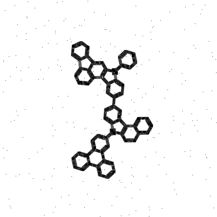 c1ccc(-n2c3ccc(-c4ccc5c(c4)c4c6ccccc6ccc4n5-c4ccc5c6ccccc6c6ccccc6c5c4)cc3c3c4cccc5c4c(cc32)-c2ccccc2-5)cc1